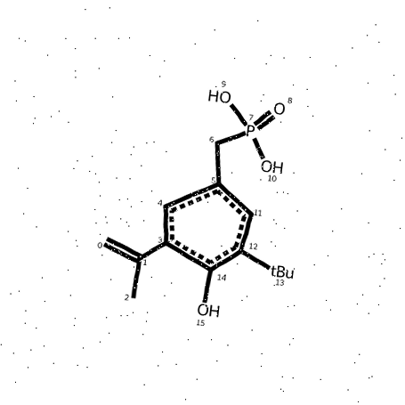 C=C(C)c1cc(CP(=O)(O)O)cc(C(C)(C)C)c1O